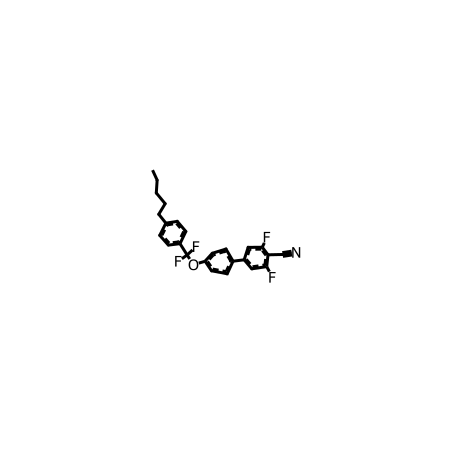 CCCCCc1ccc(C(F)(F)Oc2ccc(-c3cc(F)c(C#N)c(F)c3)cc2)cc1